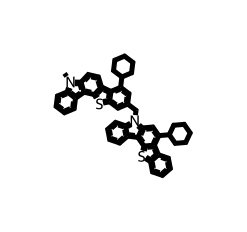 Cn1c2ccccc2c2c3sc4cc(Cn5c6ccccc6c6c7sc8ccccc8c7c(C7CCCCC7)cc65)cc(C5CCCCC5)c4c3ccc21